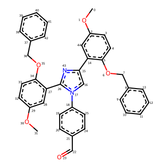 COc1ccc(OCc2ccccc2)c(-c2cn(-c3ccc(C=O)cc3)c(-c3cc(OC)ccc3OCc3ccccc3)n2)c1